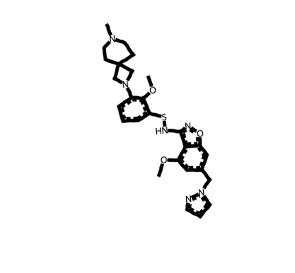 COc1c(SNc2noc3cc(Cn4cccn4)cc(OC)c23)cccc1N1CC2(CCN(C)CC2)C1